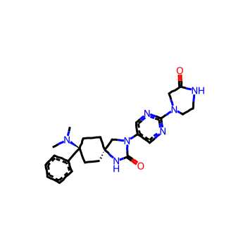 CN(C)[C@]1(c2ccccc2)CC[C@]2(CC1)CN(c1cnc(N3CCNC(=O)C3)nc1)C(=O)N2